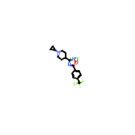 Cl.FC(F)(F)c1ccc(-c2nc(C3CCN(C4CC4)CC3)no2)cc1